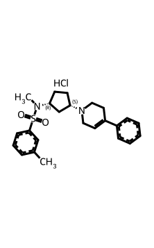 Cc1cccc(S(=O)(=O)N(C)[C@@H]2CC[C@H](N3CC=C(c4ccccc4)CC3)C2)c1.Cl